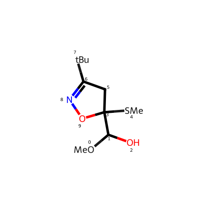 COC(O)C1(SC)CC(C(C)(C)C)=NO1